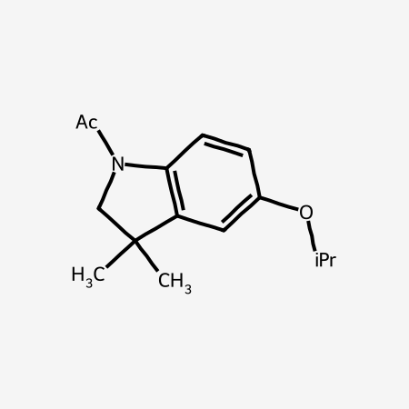 CC(=O)N1CC(C)(C)c2cc(OC(C)C)ccc21